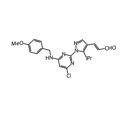 COc1ccc(CNc2cc(Cl)nc(-n3ncc(C=CC=O)c3C(C)C)n2)cc1